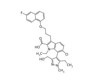 CCc1c(-c2c(Cl)ccc3c(CCCOc4cccc5cc(F)ccc45)c(C(=O)O)n(CC)c23)c(CO)nn1C